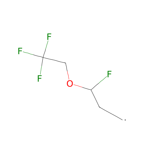 [CH2]CC(F)OCC(F)(F)F